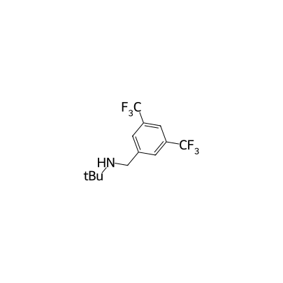 CC(C)(C)NCc1cc(C(F)(F)F)cc(C(F)(F)F)c1